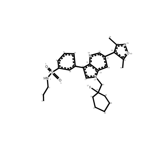 CCCNS(=O)(=O)c1cccc(-c2cn(CC3(F)CCCCC3)c3cc(-c4c(C)noc4C)cnc23)c1